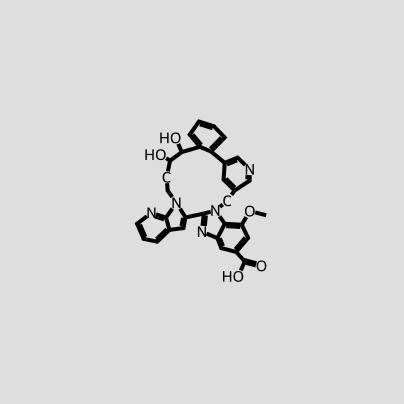 COc1cc(C(=O)O)cc2nc3n(c12)Cc1cncc(c1)-c1ccccc1C(O)C(O)CCn1c-3cc2cccnc21